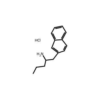 CCCC(N)Cc1ccc2ccccc2c1.Cl